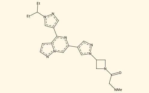 CCC(CC)n1cc(-c2nc(-c3cnn(C4CN(C(=O)CNC)C4)c3)cn3nccc23)cn1